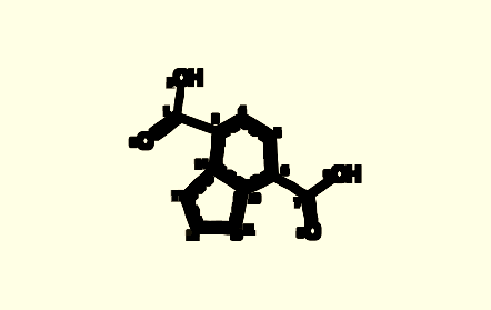 O=C(O)c1ccc(C(=O)O)c2sccc12